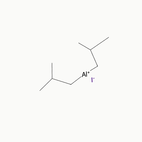 CC(C)[CH2][Al+][CH2]C(C)C.[I-]